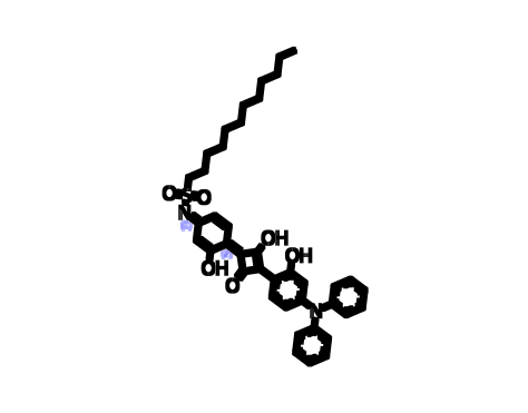 CCCCCCCCCCCCS(=O)(=O)/N=C1C=C/C(=C2/C(=O)C(c3ccc(N(c4ccccc4)c4ccccc4)cc3O)=C2O)C(O)=C\1